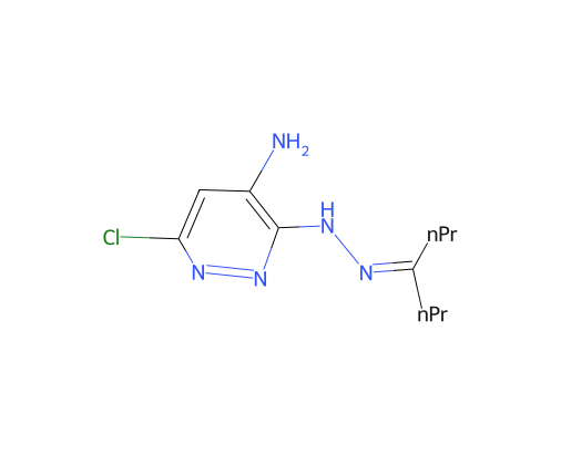 CCCC(CCC)=NNc1nnc(Cl)cc1N